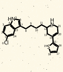 Clc1ccc2[nH]cc(CCCCC3CC(c4cccs4)=CCN3)c2c1